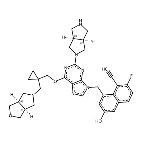 C#Cc1c(F)ccc2cc(O)cc(Cn3cnc4c(OCC5(CN6C[C@H]7COC[C@H]7C6)CC5)nc(N5C[C@H]6CNC[C@H]6C5)nc43)c12